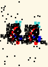 CN1N=C(c2ccc(OC(F)(F)F)cc2)C(C)(N(OC(=O)OC(C)(C)C)C(=O)OC(C)(C)C)C1=O.CN1N=C(c2ccc(OC(F)(F)F)cc2)C(C)(N(OC(=O)OC(C)(C)C)C(=O)OC(C)(C)C)C1=O